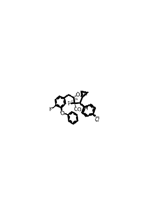 CC(=O)O[C@@H](Cc1ccc(F)c(Oc2ccccc2)c1)[C@](F)(C(=O)O)C(c1ccc(Cl)cc1)C1CC1